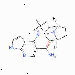 CC(C)(C)CN1[C@@H]2CC[C@H]1C[C@H](Nc1c(C(N)=O)cnc3[nH]ccc13)C2